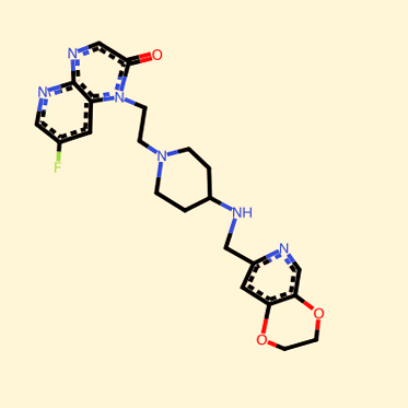 O=c1cnc2ncc(F)cc2n1CCN1CCC(NCc2cc3c(cn2)OCCO3)CC1